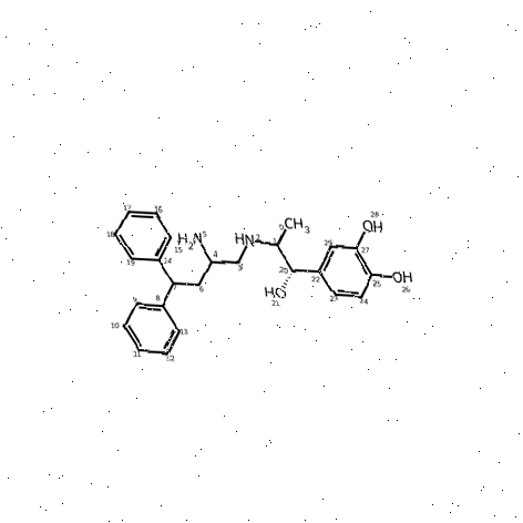 CC(NCC(N)CC(c1ccccc1)c1ccccc1)[C@@H](O)c1ccc(O)c(O)c1